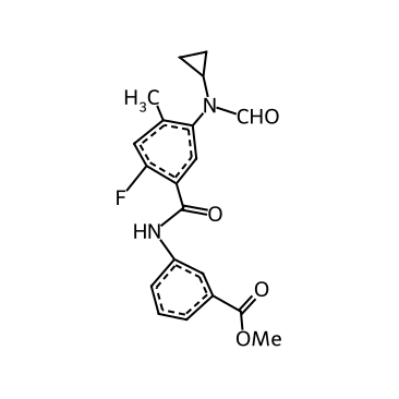 COC(=O)c1cccc(NC(=O)c2cc(N(C=O)C3CC3)c(C)cc2F)c1